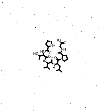 CC(C)CC(NC(=O)C(NC(=O)C(NC(=O)C1CCCN1)C(C)O)C(C)C)C(=O)N1CCCC1C(=O)NCC(=O)O